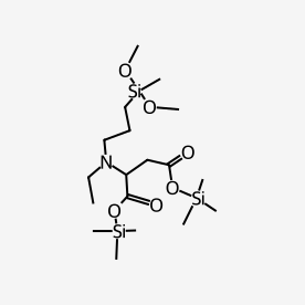 CCN(CCC[Si](C)(OC)OC)C(CC(=O)O[Si](C)(C)C)C(=O)O[Si](C)(C)C